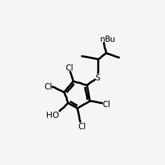 CCCCC(C)C(C)Sc1c(Cl)c(Cl)c(O)c(Cl)c1Cl